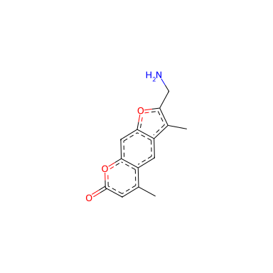 Cc1cc(=O)oc2cc3oc(CN)c(C)c3cc12